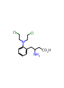 NC(CC(=O)O)Cc1ccccc1N(CCCl)CCCl